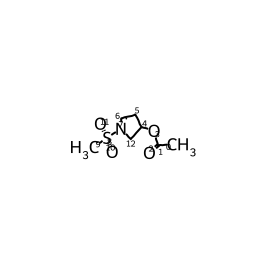 CC(=O)OC1C[CH]N(S(C)(=O)=O)C1